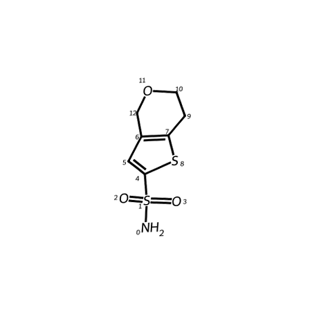 NS(=O)(=O)c1cc2c(s1)CCOC2